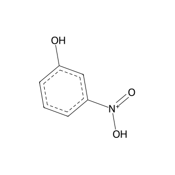 O=[N+](O)c1cccc(O)c1